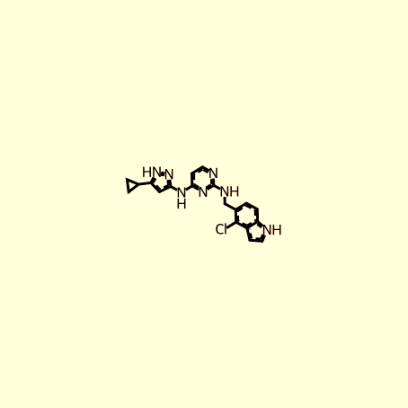 Clc1c(CNc2nccc(Nc3cc(C4CC4)[nH]n3)n2)ccc2[nH]ccc12